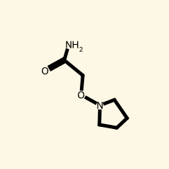 NC(=O)CON1CCCC1